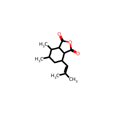 CC(C)=CC1CC(C)C(C)C2C(=O)OC(=O)C12